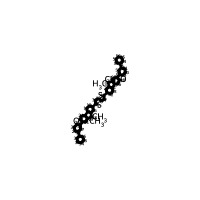 CC1(C)c2cc(-c3cc4sc(-c5ccc6c(c5)C(C)(C)c5cc7c(cc5-6)oc5ccc(-c6ccccc6)cc57)cc4s3)ccc2-c2cc3oc4ccc(-c5ccccc5)cc4c3cc21